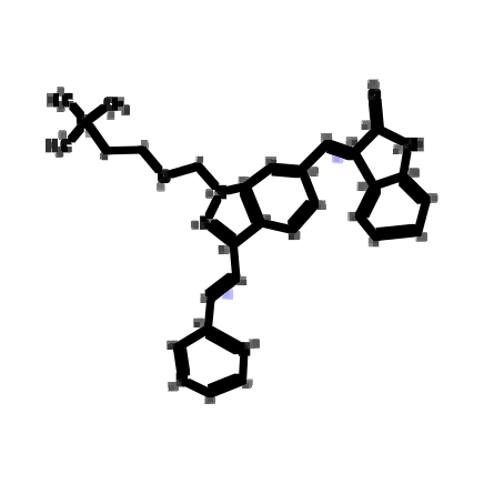 C[Si](C)(C)CCOCn1nc(/C=C/c2cnccn2)c2ccc(/C=C3/C(=O)Nc4ccccc43)cc21